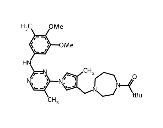 COc1cc(Nc2ncc(C)c(-n3cc(C)c(CN4CCCN(C(=O)C(C)(C)C)CC4)c3)n2)cc(C)c1OC